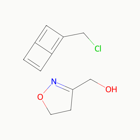 ClCc1cc2ccc1-2.OCC1=NOCC1